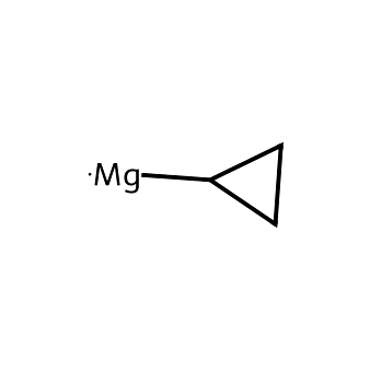 [Mg][CH]1CC1